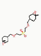 CC12CCC(COCCS(=O)(=O)CCOCC3CCC4(C)OC4C3)CC1O2